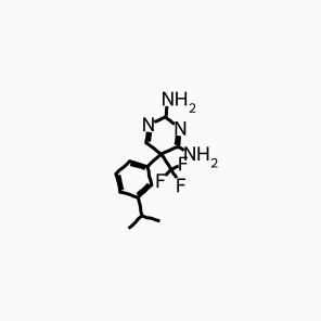 CC(C)c1cccc(C2(C(F)(F)F)C=NC(N)N=C2N)c1